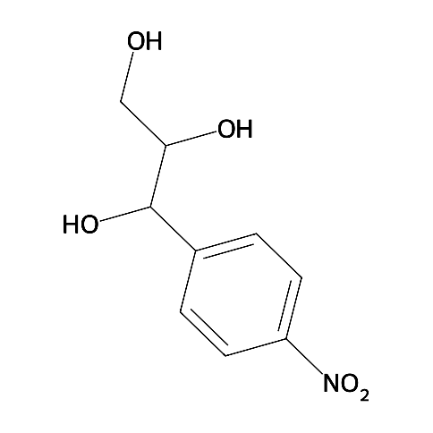 O=[N+]([O-])c1ccc(C(O)C(O)CO)cc1